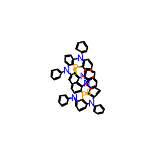 S=P12c3c4cccc3N(c3ccccc3)c3cc5cc6c7c(c5c(c31)N(c1ccccc1)c1cccc(c12)N4c1ccccc1)N(c1ccccc1)c1cccc2c1P7(=S)c1c(cccc1N6c1ccccc1)N2c1ccccc1